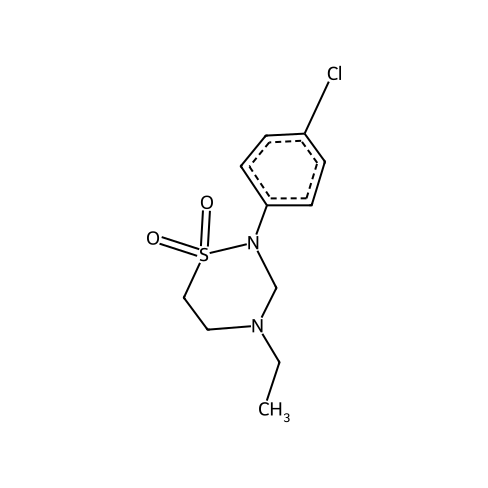 CCN1CCS(=O)(=O)N(c2ccc(Cl)cc2)C1